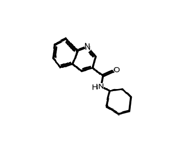 O=C(NC1CCCCC1)c1cnc2ccccc2c1